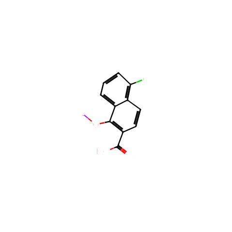 O=C(O)c1ccc2c(Cl)cccc2c1OI